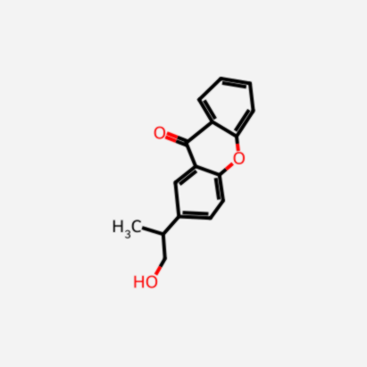 CC(CO)c1ccc2oc3ccccc3c(=O)c2c1